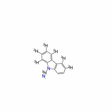 [2H]c1ccc2c(c1[2H])c1c([2H])c([2H])c([2H])c([2H])c1n2[2H].[N]